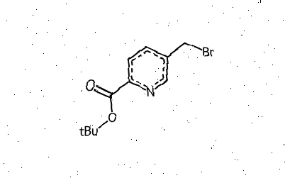 CC(C)(C)OC(=O)c1ccc(CBr)cn1